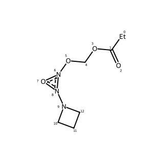 CCC(=O)OCOn1on1N1CCC1